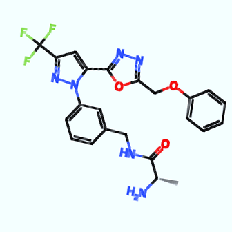 C[C@H](N)C(=O)NCc1cccc(-n2nc(C(F)(F)F)cc2-c2nnc(COc3ccccc3)o2)c1